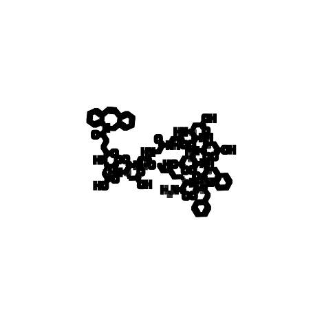 CCCCC[C@H](NC(=O)[C@H](Cc1ccccc1)NC(=O)[C@H](Cc1ccccc1)NC(=O)[C@H](CC(=O)O)NC(=O)[C@H](CC(=O)O)NC(=O)[C@H](CC(=O)O)NC(=O)CNC(=O)CNC(=O)CNC(=O)[C@H](CC(=O)O)NC(=O)[C@H](CC(=O)O)NC(=O)CCC(=O)N1Cc2ccccc2C#Cc2ccccc21)C(N)=O